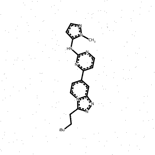 CCC(C)CCc1nnc2cc(-c3ccnc(Nc4ccnn4C)n3)ccn12